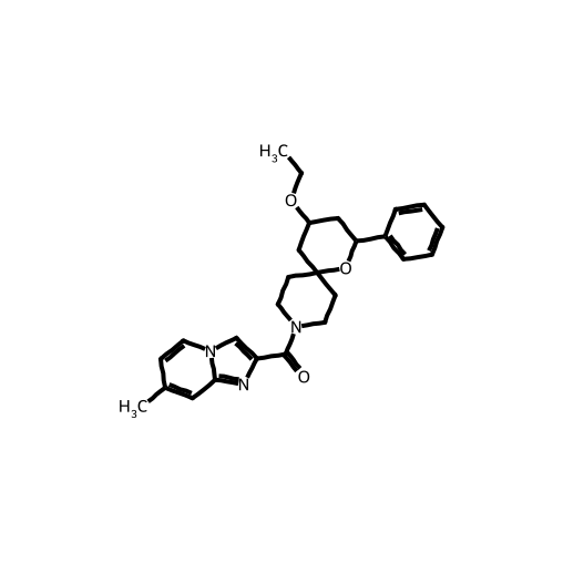 CCOC1CC(c2ccccc2)OC2(CCN(C(=O)c3cn4ccc(C)cc4n3)CC2)C1